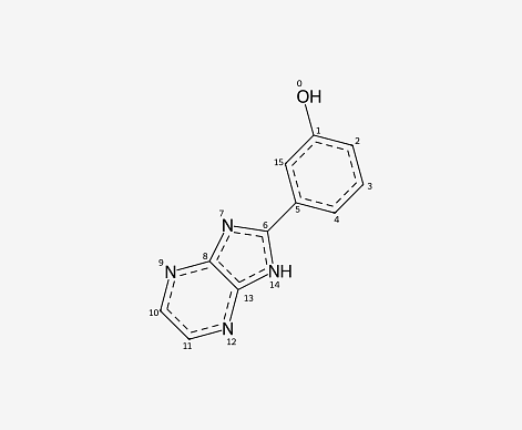 Oc1cccc(-c2nc3nccnc3[nH]2)c1